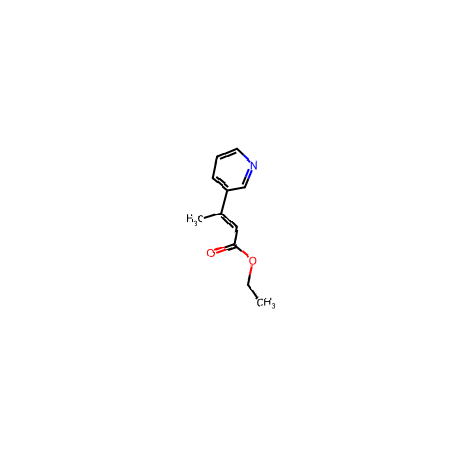 CCOC(=O)C=C(C)c1cccnc1